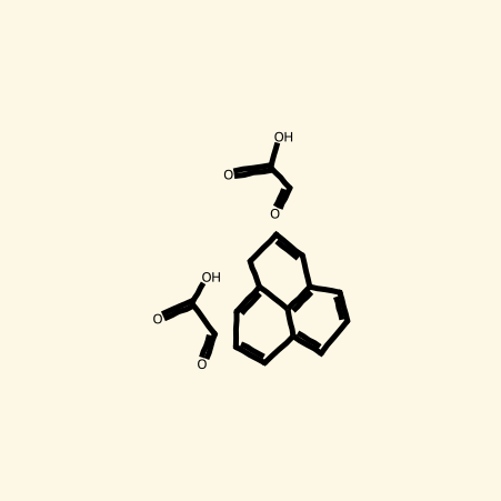 C1=Cc2cccc3cccc(c23)C1.O=CC(=O)O.O=CC(=O)O